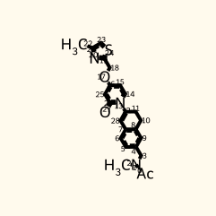 CC(=O)N(C)Cc1ccc2c(c1)CCC(n1ccc(OCc3nc(C)cs3)cc1=O)=C2